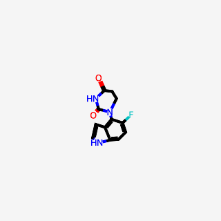 O=C1CCN(c2c(F)ccc3[nH]ccc23)C(=O)N1